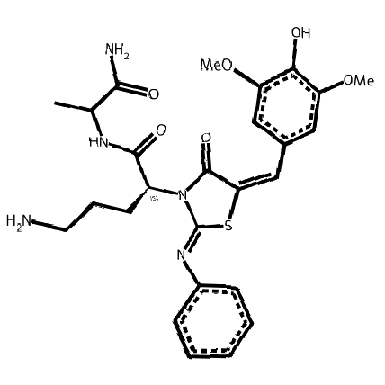 COc1cc(C=C2SC(=Nc3ccccc3)N([C@@H](CCCN)C(=O)NC(C)C(N)=O)C2=O)cc(OC)c1O